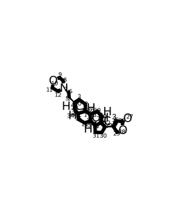 C[C@]12CC[C@H]([CH]CN3CCOCC3)C[C@H]1CC[C@@H]1[C@@H]2CC[C@]2(C)[C@@H](C3=CC(=O)OC3)CC[C@]12O